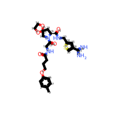 Cc1ccc(OCCCC(=O)NCC(=O)N2CC3(C[C@H]2C(=O)NCc2cc(C(=N)N)cs2)OCCO3)cc1